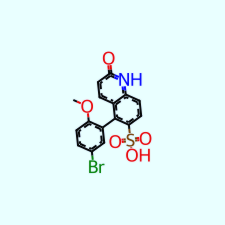 COc1ccc(Br)cc1-c1c(S(=O)(=O)O)ccc2[nH]c(=O)ccc12